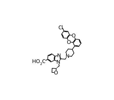 O=C(O)c1ccc2nc(CN3CCC(c4cccc5c4Oc4ccc(Cl)cc4O5)CC3)n(C[C@@H]3CCO3)c2c1